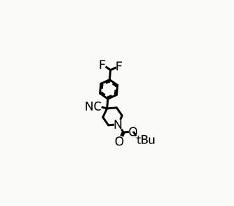 CC(C)(C)OC(=O)N1CCC(C#N)(c2ccc(C(F)F)cc2)CC1